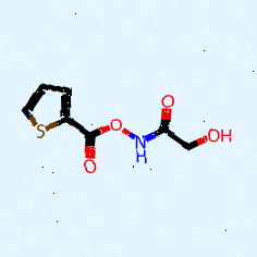 O=C(CO)NOC(=O)c1cccs1